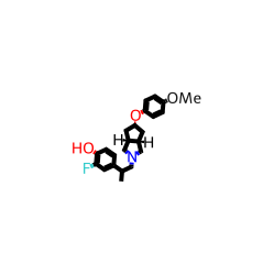 COc1ccc(O[C@@H]2C[C@@H]3CN(CC(C)c4ccc(O)c(F)c4)C[C@@H]3C2)cc1